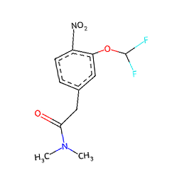 CN(C)C(=O)Cc1ccc([N+](=O)[O-])c(OC(F)F)c1